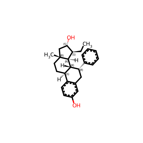 CC[C@H]1[C@H]2[C@H]3[C@H](CC[C@]2(C)C[C@@H]1O)c1ccc(O)cc1C[C@H]3c1ccccc1